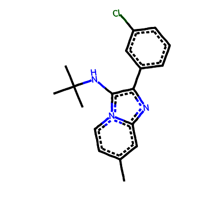 Cc1ccn2c(NC(C)(C)C)c(-c3cccc(Cl)c3)nc2c1